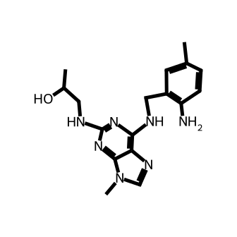 Cc1ccc(N)c(CNc2nc(NCC(C)O)nc3c2ncn3C)c1